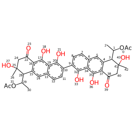 CC(=O)OC(C)C1c2cc3ccc(-c4ccc5cc6c(c(O)c5c4O)C(=O)CC(C)(O)C6C(C)OC(C)=O)c(O)c3c(O)c2C(=O)CC1(C)O